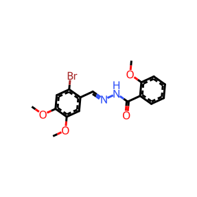 COc1cc(Br)c(/C=N/NC(=O)c2ccccc2OC)cc1OC